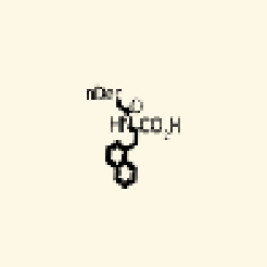 CCCCCCCCCCCC(=O)N[C@@H](Cc1cccc2ccccc12)C(=O)O